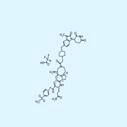 Cn1c(=O)n(C2CCC(=O)NC2=O)c2ccc(CC3CCC(CC(=O)N4CC[C@H]5CC[C@@H](C(=O)N[C@@H](CCC(N)=O)C(=O)NCc6ccc(S(C)(=O)=O)cc6)N5C(=O)[C@@H](N)C4)CC3)cc21.O=C(O)C(F)(F)F